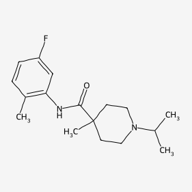 Cc1ccc(F)cc1NC(=O)C1(C)CCN(C(C)C)CC1